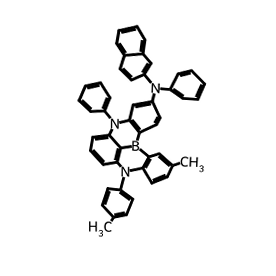 Cc1ccc(N2c3ccc(C)cc3B3c4ccc(N(c5ccccc5)c5ccc6ccccc6c5)cc4N(c4ccccc4)c4cccc2c43)cc1